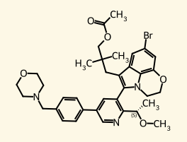 CO[C@@H](C)c1ncc(-c2ccc(CN3CCOCC3)cc2)cc1-c1c(CC(C)(C)COC(C)=O)c2cc(Br)cc3c2n1CCO3